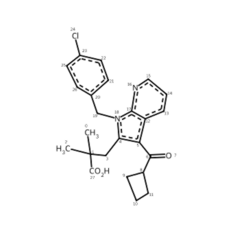 CC(C)(Cc1c(C(=O)C2CCC2)c2cccnc2n1Cc1ccc(Cl)cc1)C(=O)O